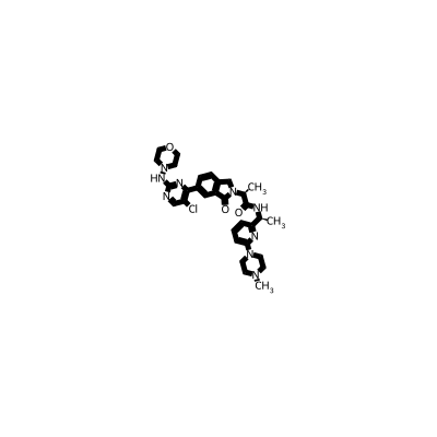 C[C@H](C(=O)N[C@H](C)c1cccc(N2CCN(C)CC2)n1)N1Cc2ccc(-c3nc(NN4CCOCC4)ncc3Cl)cc2C1=O